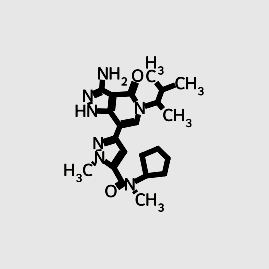 CC(C)C(C)n1cc(-c2cc(C(=O)N(C)C3CCCC3)n(C)n2)c2[nH]nc(N)c2c1=O